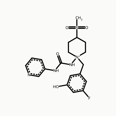 CS(=O)(=O)C1CC[N+](Cc2cc(O)cc(F)c2)(NC(=O)Nc2cccnc2)CC1